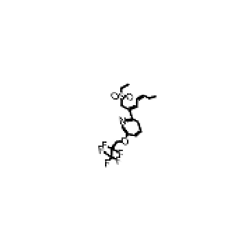 CC/C=C\C=C(/CS(=O)(=O)CC)C1=NC=C(OCC(F)(F)C(F)(F)F)C=CC1